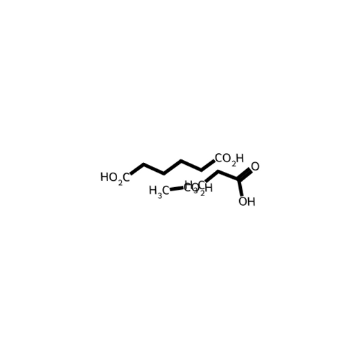 CC(=O)O.CCC(=O)O.O=C(O)CCCCC(=O)O